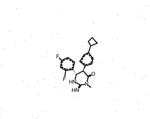 CN1C(=N)N[C@H](c2ccc(F)cc2F)[C@@H](c2ccc(C3CCC3)cc2)C1=O